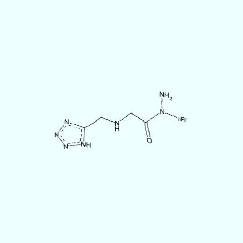 CCCN(N)C(=O)CNCc1nnn[nH]1